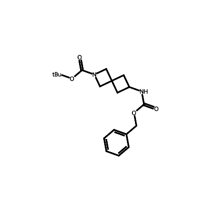 CC(C)(C)OC(=O)N1CC2(CC(NC(=O)OCc3ccccc3)C2)C1